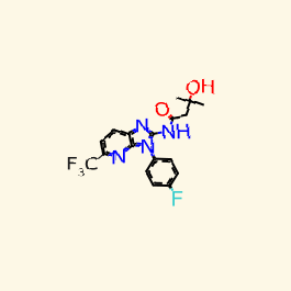 CC(C)(O)CC(=O)Nc1nc2ccc(C(F)(F)F)nc2n1-c1ccc(F)cc1